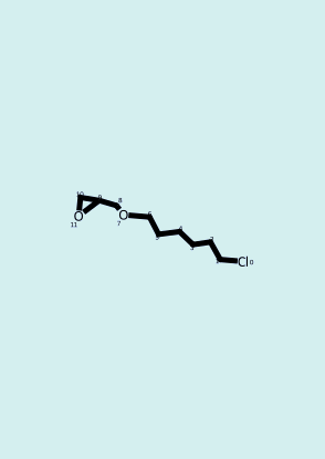 ClCC[CH]CCCOCC1CO1